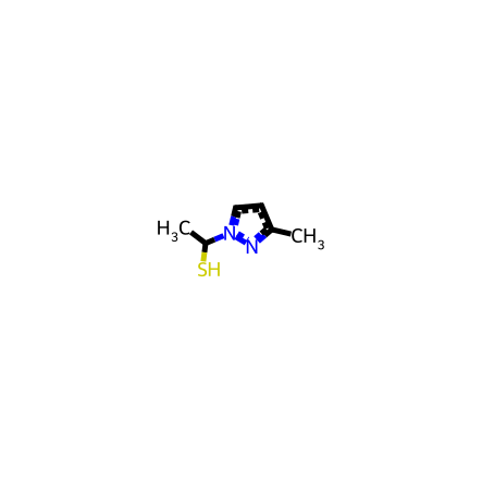 Cc1ccn(C(C)S)n1